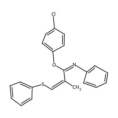 CC(=CSc1ccccc1)C(=Nc1ccccc1)Oc1ccc(Cl)cc1